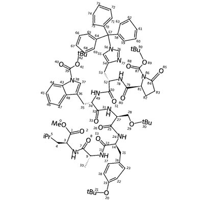 COC(=O)[C@H](CC(C)C)NC(=O)[C@@H](C)NC(=O)[C@H](Cc1ccc(OC(C)(C)C)cc1)NC(=O)[C@H](COC(C)(C)C)NC(=O)[C@H](Cc1cn(C(=O)OC(C)(C)C)c2ccccc12)NC(=O)[C@H](Cc1cn(C(c2ccccc2)(c2ccccc2)c2ccccc2)cn1)NC(=O)[C@@H]1CCC(=O)N1C(=O)OC(C)(C)C